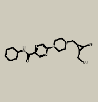 CCC(C)CC1C(CC)C1CN1CCN(c2cnc(C(=O)NC3CCCCC3)cn2)CC1